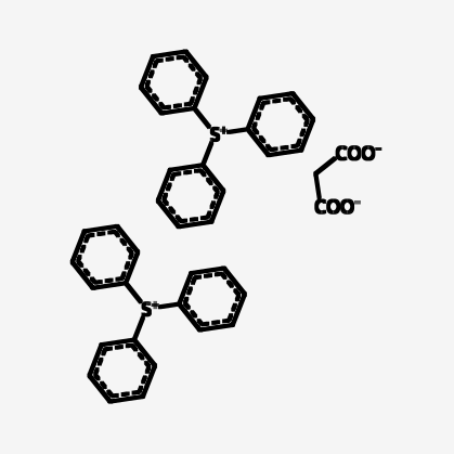 O=C([O-])CC(=O)[O-].c1ccc([S+](c2ccccc2)c2ccccc2)cc1.c1ccc([S+](c2ccccc2)c2ccccc2)cc1